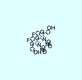 Cc1c(F)cccc1[C@H]1[C@@H](C(=O)c2cccc(O)c2)CN(CCN(C)S(C)(=O)=O)C[C@H]1C(=O)[C@@H]1CN(CCN(C)S(C)(=O)=O)C[C@H](C(=O)c2cccc(O)c2)[C@@H]1c1cccc(F)c1C